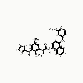 CNc1nccc(Oc2ccc(NC(=O)Nc3cc(C(C)(C)C)cc(Nc4nccs4)c3OC)c3ccccc23)n1